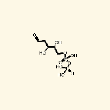 O=CC[C@H](O)[C@H](O)COP(=O)(O)OP(=O)(O)O